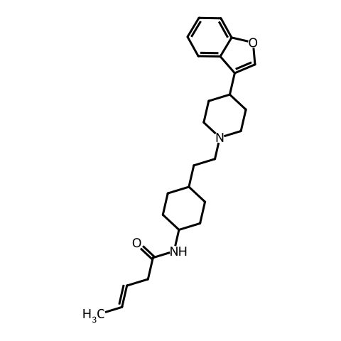 C/C=C/CC(=O)NC1CCC(CCN2CCC(c3coc4ccccc34)CC2)CC1